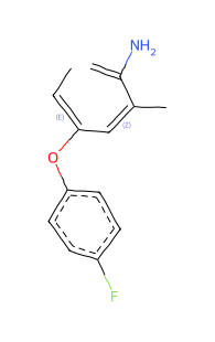 C=C(N)/C(C)=C\C(=C/C)Oc1ccc(F)cc1